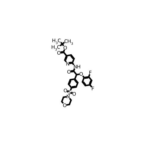 CC(C)(C)OC(=O)c1ccc(NC(=O)C(Oc2ccc(F)cc2F)c2ccc(S(=O)(=O)N3CCOCC3)cc2)nc1